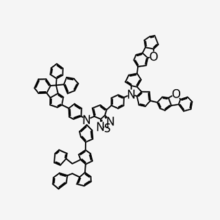 c1ccc(Cc2ccccc2-c2ccc(-c3ccc(N(c4ccc(-c5ccc6c(c5)C(c5ccccc5)(c5ccccc5)c5ccccc5-6)cc4)c4ccc(-c5ccc(-n6c7ccc(-c8ccc9c(c8)oc8ccccc89)cc7c7cc(-c8ccc9c(c8)oc8ccccc89)ccc76)cc5)c5nsnc45)cc3)cc2Cc2ccccc2)cc1